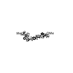 COC(=O)N[C@H](C(=O)N1CCC[C@H]1c1ncc(-c2nc3cc4nc(-c5cnc([C@@H]6CCCN6C(=O)[C@@H](NC(=O)OC)C(C)C)[nH]5)sc4cc3s2)[nH]1)C(C)C